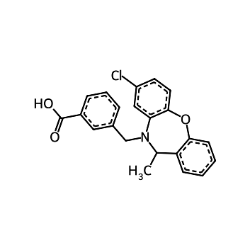 CC1c2ccccc2Oc2ccc(Cl)cc2N1Cc1cccc(C(=O)O)c1